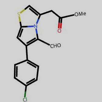 COC(=O)Cc1csc2cc(-c3ccc(Cl)cc3)c(C=O)n12